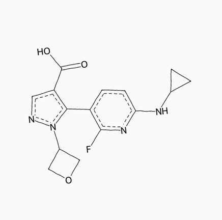 O=C(O)c1cnn(C2COC2)c1-c1ccc(NC2CC2)nc1F